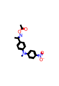 CC(=O)O/N=C(\C)c1ccc(N(C)c2ccc([N+](=O)[O-])cc2)cc1